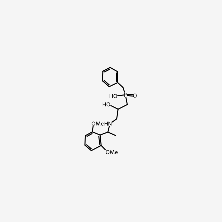 COc1cccc(OC)c1C(C)NCC(O)CP(=O)(O)Cc1ccccc1